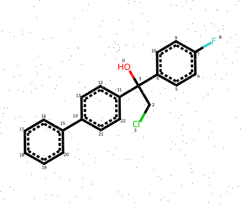 OC(CCl)(c1ccc(F)cc1)c1ccc(-c2ccccc2)cc1